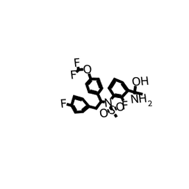 CC(N)(O)c1cccc(N(C(Cc2ccc(F)cc2)c2ccc(OC(F)F)cc2)S(C)(=O)=O)c1F